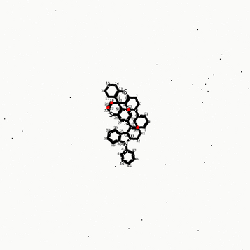 C1=CCCC(C2CCC3=C(C2)C2(C4=C(CCCC4)S3)c3ccccc3Sc3cc(C4=CCCC5C4c4ccccc4N5c4ccccc4)ccc32)=C1